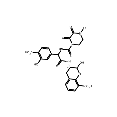 CCN1CCN(C(=O)NC(C(=O)N[C@H]2Cc3cccc(C(=O)O)c3OB2O)c2ccc(C(=O)O)c(O)c2)C(=O)C1=O